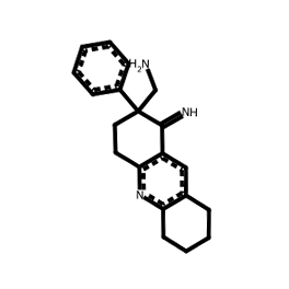 N=C1c2cc3c(nc2CCC1(CN)c1ccccc1)CCCC3